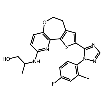 CC(CO)Nc1ccc2c(n1)-c1sc(-c3ncnn3-c3ccc(F)cc3F)cc1CCO2